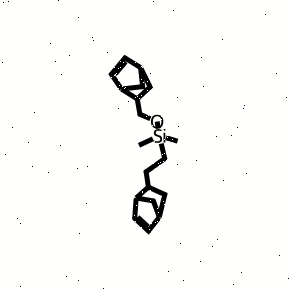 C[Si](C)(CCC1CC2C=CC1C2)OCC1CC2C=CC1C2